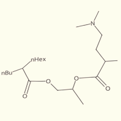 CCCCCCC(CCCC)C(=O)OCC(C)OC(=O)C(C)CCN(C)C